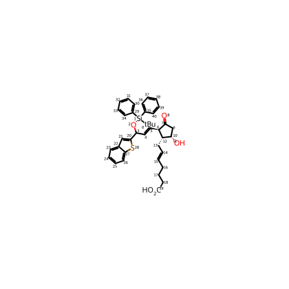 CC(C)(C)[Si](OC(C=C[C@H]1C(=O)C[C@H](O)[C@@H]1CC=CCCCC(=O)O)c1cc2ccccc2s1)(c1ccccc1)c1ccccc1